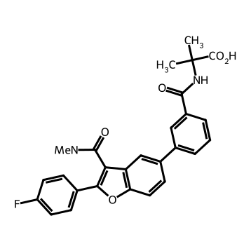 CNC(=O)c1c(-c2ccc(F)cc2)oc2ccc(-c3cccc(C(=O)NC(C)(C)C(=O)O)c3)cc12